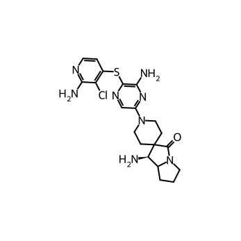 Nc1nc(N2CCC3(CC2)C(=O)N2CCCC2[C@H]3N)cnc1Sc1ccnc(N)c1Cl